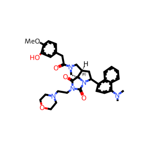 COc1ccc(CC(=O)N2C[C@H]3CC(c4ccc(N(C)C)c5ccccc45)N4C(=O)N(CCN5CCOCC5)C(=O)[C@@]34C2)cc1O